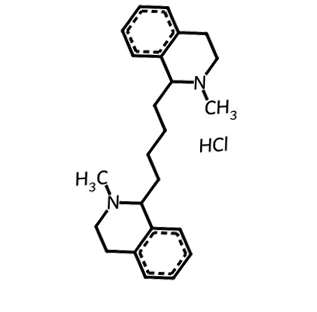 CN1CCc2ccccc2C1CCCCC1c2ccccc2CCN1C.Cl